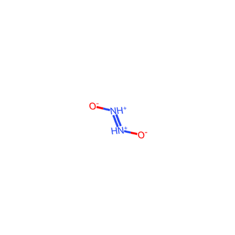 [O-]/[NH+]=[NH+]/[O-]